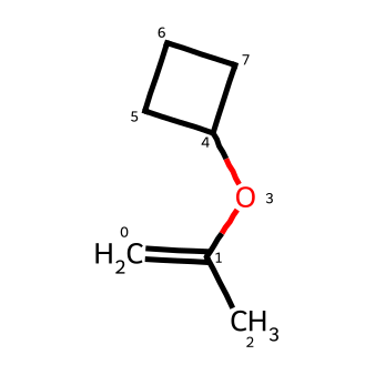 C=C(C)OC1CCC1